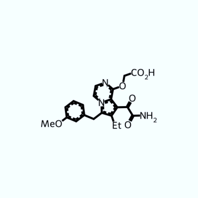 CCc1c(C(=O)C(N)=O)c2c(OCC(=O)O)nccn2c1Cc1cccc(OC)c1